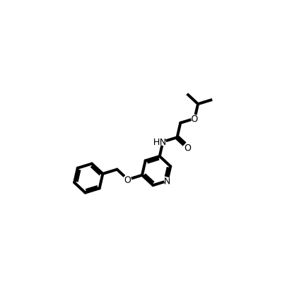 CC(C)OCC(=O)Nc1cncc(OCc2ccccc2)c1